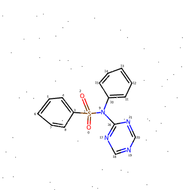 O=S(=O)(c1ccccc1)N(c1ccccc1)c1ncncn1